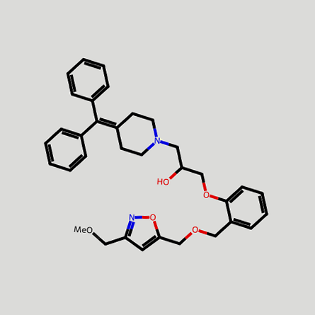 COCc1cc(COCc2ccccc2OCC(O)CN2CCC(=C(c3ccccc3)c3ccccc3)CC2)on1